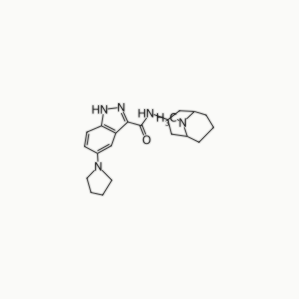 CN1C2CCCC1CC(NC(=O)c1n[nH]c3ccc(N4CCCC4)cc13)C2